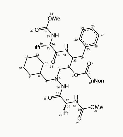 CCCCCCCCCC(=O)OC(CN(CC1CCCCC1)NC(=O)[C@@H](NC(=O)OC)C(C)C)C(Cc1ccccc1)NC(=O)[C@@H](NC(=O)OC)C(C)C